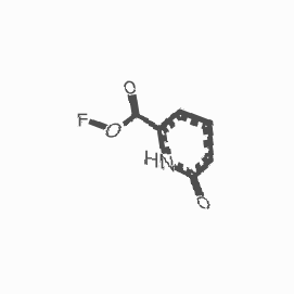 O=C(OF)c1cccc(=O)[nH]1